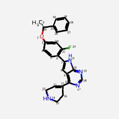 C[C@@H](Oc1ccc(-c2cc3c(C4=CCNCC4)ncnc3[nH]2)c(F)c1)c1ccccc1